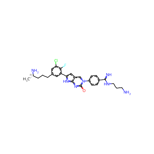 C[C@H](N)CCCc1cc(Cl)c(F)c(-c2cc3cn(-c4ccc(C(=N)NCCCN)cc4)c(=O)nc3[nH]2)c1